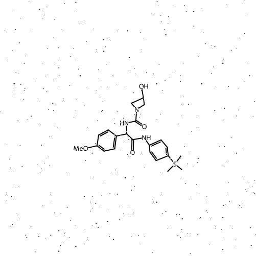 COc1ccc(C(NC(=O)N2CC(O)C2)C(=O)Nc2ccc(S(C)(C)C)cc2)cc1